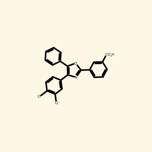 O=C(O)c1cccc(-c2nc(-c3ccc(Cl)c(Cl)c3)c(-c3ccccc3)o2)c1